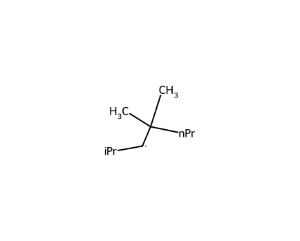 CCCC(C)(C)[CH]C(C)C